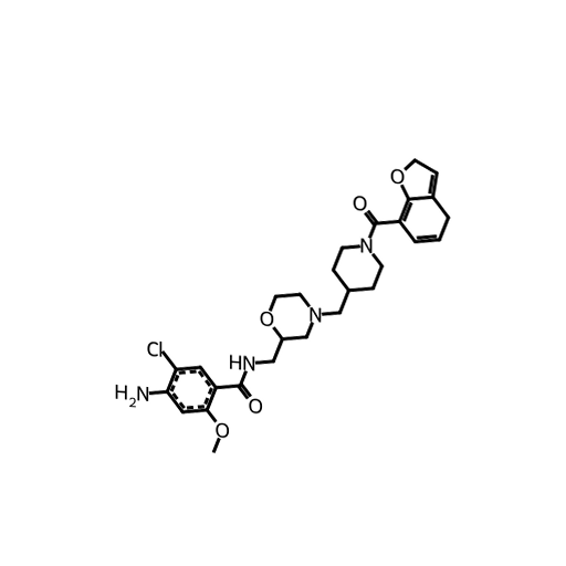 COc1cc(N)c(Cl)cc1C(=O)NCC1CN(CC2CCN(C(=O)C3=C4OCC=C4CC=C3)CC2)CCO1